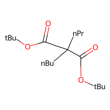 CCCCC(CCC)(C(=O)OC(C)(C)C)C(=O)OC(C)(C)C